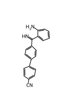 N#Cc1ccc(-c2ccc(C(=N)c3ccccc3N)cc2)cc1